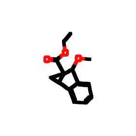 CCOC(=O)C12CC1c1ccccc1C2OC